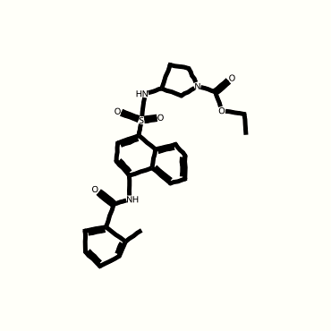 CCOC(=O)N1CCC(NS(=O)(=O)c2ccc(NC(=O)c3ccccc3C)c3ccccc23)C1